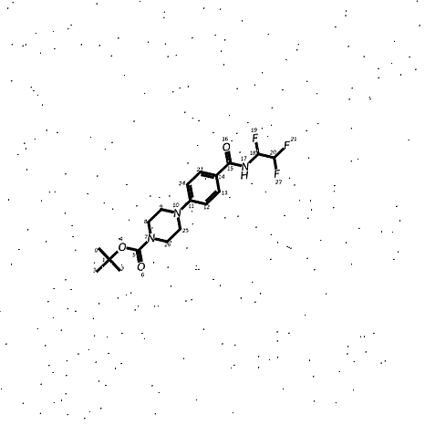 CC(C)(C)OC(=O)N1CCN(c2ccc(C(=O)NC(F)C(F)F)cc2)CC1